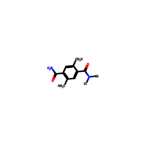 CCN(CC)C(=O)c1cc(C(=O)O)c(C(N)=O)cc1C(=O)O